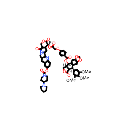 CC[C@@]1(OC(=O)COc2ccc(C(=O)O[C@H]3c4cc5c(cc4[C@@H](c4cc(OC)c(OC)c(OC)c4)[C@H]4C(=O)OC[C@@H]43)OCO5)cc2)C(=O)OCc2c1cc1n(c2=O)Cc2cc3cc(OC(=O)N4CCC(N5CCCCC5)CC4)ccc3nc2-1